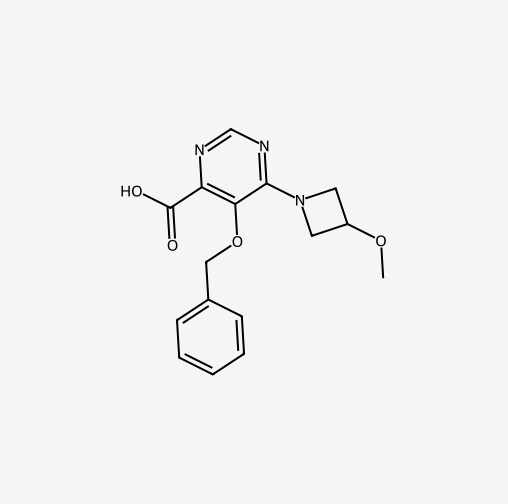 COC1CN(c2ncnc(C(=O)O)c2OCc2ccccc2)C1